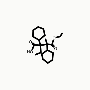 CCOC(=O)C(C)(C1CCCCC1)C(CC)(C(=O)O)C1CCCCC1